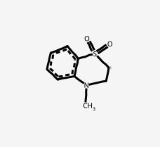 CN1C[C]S(=O)(=O)c2ccccc21